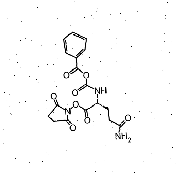 NC(=O)CC[C@H](NC(=O)OC(=O)c1ccccc1)C(=O)ON1C(=O)CCC1=O